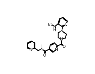 CCNc1cccnc1N1CCN(C(=O)c2ccc(C(=O)NCc3ccccn3)cn2)CC1